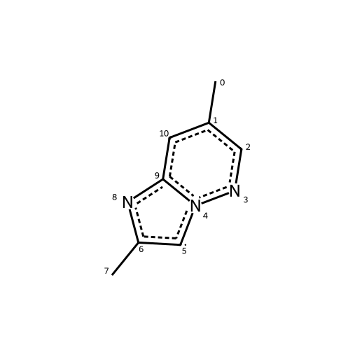 Cc1cnn2[c]c(C)nc2c1